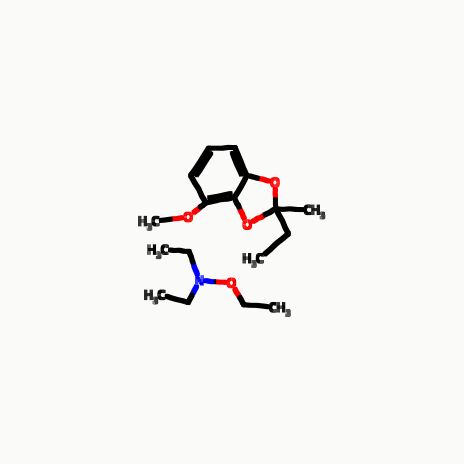 CCC1(C)Oc2cccc(OC)c2O1.CCON(CC)CC